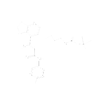 CC(C)(C)OC(=O)NCCCOc1cnc2c(c1/C(N)=C/C(=N)Nc1cnc(Cl)cn1)OCC2